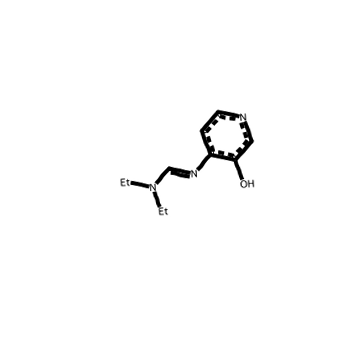 CCN(C=Nc1ccncc1O)CC